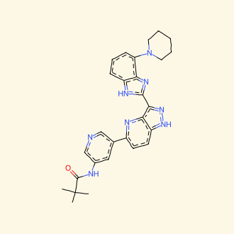 CC(C)(C)C(=O)Nc1cncc(-c2ccc3[nH]nc(-c4nc5c(N6CCCCC6)cccc5[nH]4)c3n2)c1